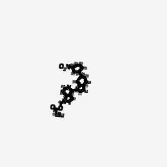 CC(C)(C)C(=O)OCn1ccc2c(-n3ccc4ccc(-c5cccc([N+](=O)[O-])c5)cc43)ncnc21